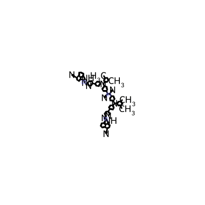 Cc1cc(C)cc(N(c2ccc(/C(C#N)=C(\C#N)c3ccc(N(c4ccc(-c5ccc(/N=C6\Nc7cccc8c(C#N)ccc6c78)nc5)cc4)c4cc(C)cc(C)c4)cc3)cc2)c2ccc(-c3ccc(/N=C4\Nc5ccc(C#N)c6cccc4c56)nc3)cc2)c1